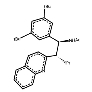 CC(=O)N[C@H](c1cc(C(C)(C)C)cc(C(C)(C)C)c1)[C@@H](c1ccc2ccccc2n1)C(C)C